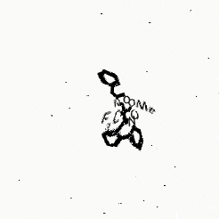 COC(=O)C(C1=NC(Cc2ccccc2)CO1)(c1nc2ccccc2c2ccccc12)C(F)(F)F